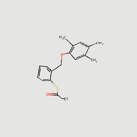 CCC(=O)Sc1ccccc1COc1cc(C)c(C)cc1C